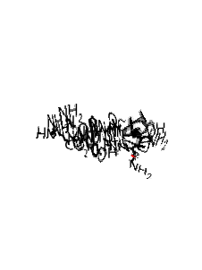 CC(NC(=O)[C@@H](NC(=O)C(N)CCCCN)[C@@H](O)CN)C(=O)NCC(=O)N[C@H](CCCN)C(=O)N1CCC[C@H]1C(=O)NC(Cc1ccc(O)cc1)C(=O)N[C@@H](CCCCN)C(=O)N/C(=C\CCNC(=N)N)C(=O)O